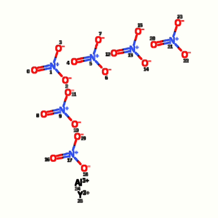 O=[N+]([O-])[O-].O=[N+]([O-])[O-].O=[N+]([O-])[O-].O=[N+]([O-])[O-].O=[N+]([O-])[O-].O=[N+]([O-])[O-].[Al+3].[Y+3]